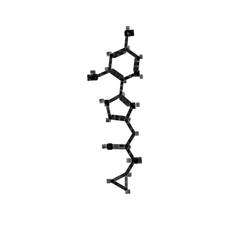 N#Cc1cnc(-c2nc(CC(=O)NC3CC3)cs2)c(O)c1